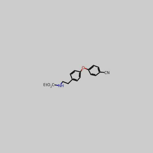 CCOC(=O)NCCc1ccc(Oc2ccc(C#N)cc2)cc1